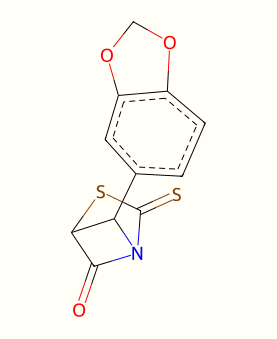 O=C1C2SC(=S)N1C2c1ccc2c(c1)OCO2